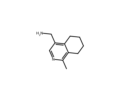 Cc1ncc(CN)c2c1CCCC2